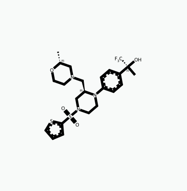 C[C@@H]1CN(C[C@@H]2CN(S(=O)(=O)c3cccs3)CCN2c2ccc([C@](C)(O)C(F)(F)F)cc2)CCO1